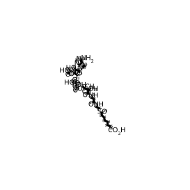 CC(C)(COP(=O)(O)OP(=O)(O)OC[C@H]1O[C@@H](n2cnc3c(N)ncnc32)[C@H](O)[C@@H]1OP(=O)(O)O)[C@@H](O)C(=O)NCCC(=O)NCCSC(=O)CCCCCCC(=O)O